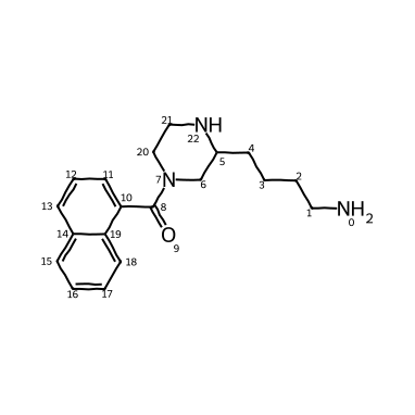 NCCCCC1CN(C(=O)c2cccc3ccccc23)CCN1